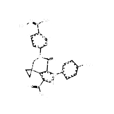 COc1ccc(-n2nc(C(N)=O)c3c2C(=O)N(c2ccc(/C(N)=N\O)cc2)CC32CC2)cc1